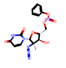 C[C@@]1(N=[N+]=[N-])[C@H](O)[C@@H](CO[PH](=O)Oc2ccccc2)O[C@H]1n1ccc(=O)[nH]c1=O